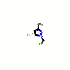 CC(C)(C)c1ccn(CCl)n1.Cl